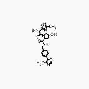 Cc1nsc([C@H](C(=O)N2C[C@H](O)C[C@H]2C(=O)NCc2ccc(-c3ocnc3C)cc2)C(C)C)n1